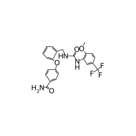 COc1ccc(C(F)(F)F)cc1NC(=O)NCc1ccccc1Oc1ccc(C(N)=O)cc1